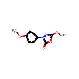 CCCCCCCCOc1nn(-c2ccc(OC(F)(F)F)cc2)c(=O)o1